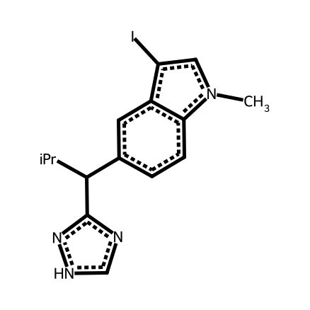 CC(C)C(c1ccc2c(c1)c(I)cn2C)c1nc[nH]n1